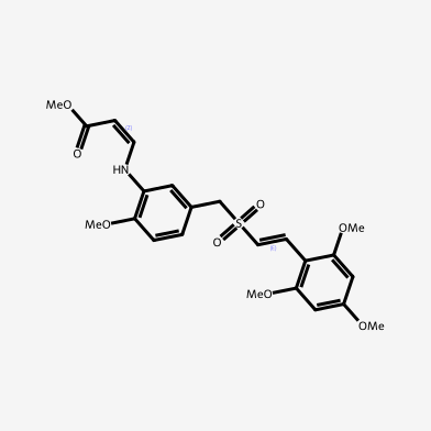 COC(=O)/C=C\Nc1cc(CS(=O)(=O)/C=C/c2c(OC)cc(OC)cc2OC)ccc1OC